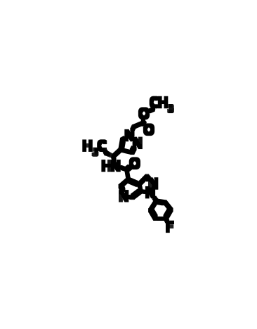 CCOC(=O)Cn1cc([C@H](CC)NC(=O)c2cncc3c2cnn3-c2ccc(F)cc2)cn1